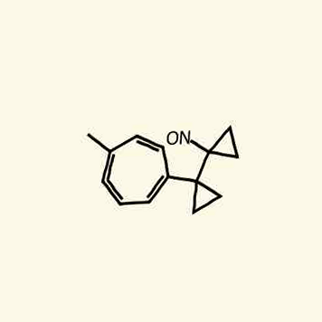 CC1=C=CC=C(C2(C3(N=O)CC3)CC2)C=C1